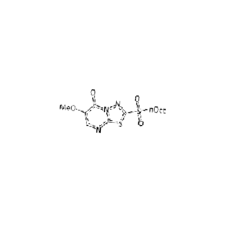 CCCCCCCCS(=O)(=O)c1nn2c(=O)c(OC)cnc2s1